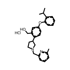 Cc1cccc(CN2CCC(c3ccc(Oc4ccccc4C(C)C)cc3CO)C2)n1.Cl